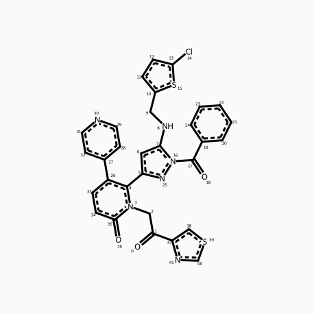 O=C(Cn1c(-c2cc(NCc3ccc(Cl)s3)n(C(=O)c3ccccc3)n2)c(-c2ccncc2)ccc1=O)c1cscn1